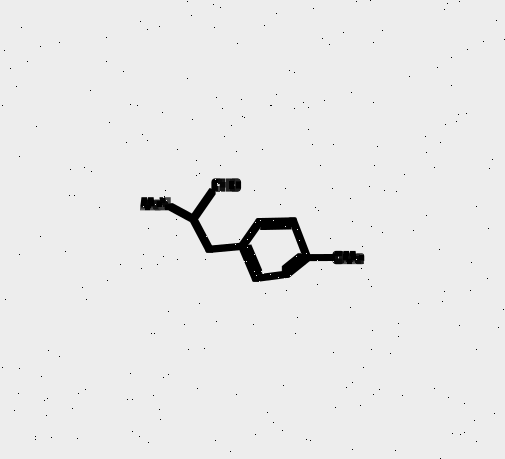 CNC(C=O)Cc1ccc(OC)cc1